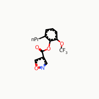 CCCc1cccc(OC(F)(F)F)c1OC(=O)c1cnoc1